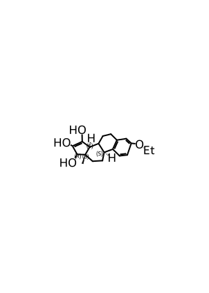 CCOc1ccc2c(c1)CCC1[C@@H]2CC[C@]2(C)[C@@H](O)C(O)=C(O)[C@@H]12